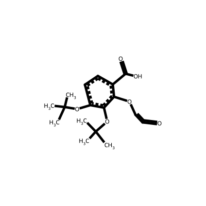 CC(C)(C)Oc1ccc(C(=O)O)c(OC=C=O)c1OC(C)(C)C